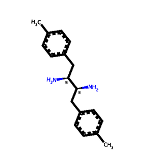 Cc1ccc(C[C@H](N)[C@@H](N)Cc2ccc(C)cc2)cc1